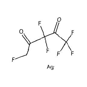 O=C(CF)C(F)(F)C(=O)C(F)(F)F.[Ag]